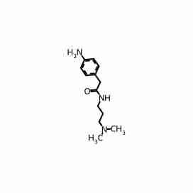 CN(C)CCCNC(=O)Cc1ccc(N)cc1